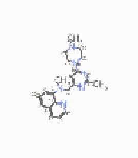 Cc1nc(CN(C)c2cc(F)cc3cccnc23)cc(N2CCN(C)CC2)n1